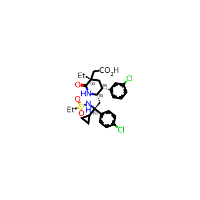 CC[C@@]1(CC(=O)O)C[C@H](c2cccc(Cl)c2)[C@H](C[C@@](NS(=O)(=O)CC)(c2ccc(Cl)cc2)C2CC2)NC1=O